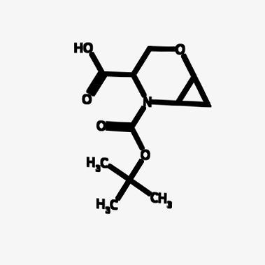 CC(C)(C)OC(=O)N1C(C(=O)O)COC2CC21